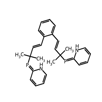 CC(C)(C=Cc1ccccc1C=CC(C)(C)P=c1cccc[nH]1)P=c1cccc[nH]1